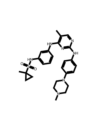 Cc1cnc(Nc2ccc(N3CCN(C)CC3)cc2)nc1Nc1cccc(NS(=O)(=O)C2(C)CC2)c1